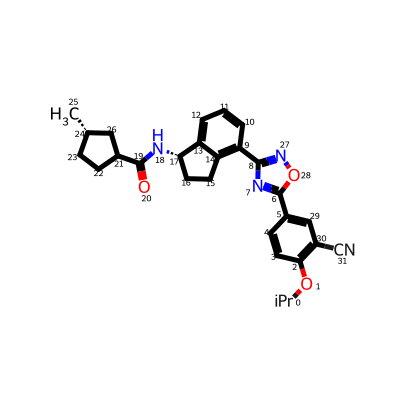 CC(C)Oc1ccc(-c2nc(-c3cccc4c3CC[C@@H]4NC(=O)C3CC[C@H](C)C3)no2)cc1C#N